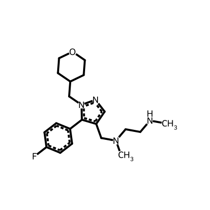 CNCCN(C)Cc1cnn(CC2CCOCC2)c1-c1ccc(F)cc1